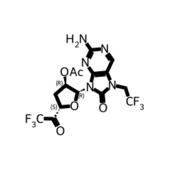 CC(=O)O[C@@H]1C[C@@H](C(=O)C(F)(F)F)O[C@H]1n1c(=O)n(CC(F)(F)F)c2cnc(N)nc21